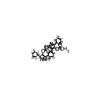 CC(=O)Oc1c(-c2ccccc2)n[nH]c1-c1cccc(-c2[nH]nc(-c3ccccc3)c2OC(C)=O)c1